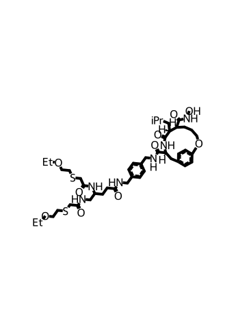 CCOCCSCC(=O)NCC(CCC(=O)NCc1ccc(CNC(=O)[C@@H]2Cc3ccc(cc3)OCCC[C@H](C(=O)NO)[C@@H](CC(C)C)C(=O)N2)cc1)NC(=O)CSCCOCC